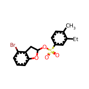 CCc1cc(S(=O)(=O)OC2Cc3c(Br)cccc3O2)ccc1C